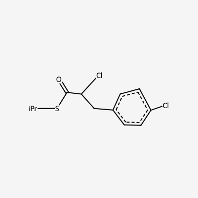 CC(C)SC(=O)C(Cl)Cc1ccc(Cl)cc1